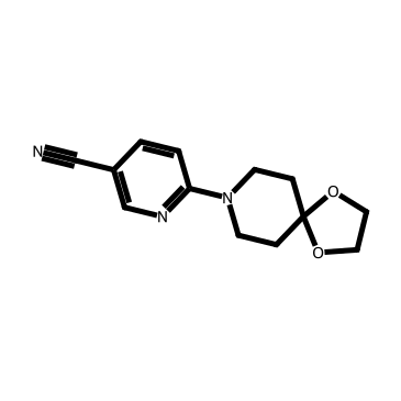 N#Cc1ccc(N2CCC3(CC2)OCCO3)nc1